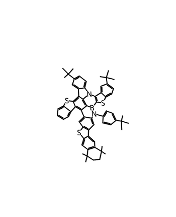 CC(C)(C)c1ccc(N2B3c4sc5ccc(C(C)(C)C)cc5c4-n4c5ccc(C(C)(C)C)cc5c5c6sc7ccccc7c6c(c3c54)-c3cc4sc5cc6c(cc5c4cc32)C(C)(C)CCC6(C)C)cc1